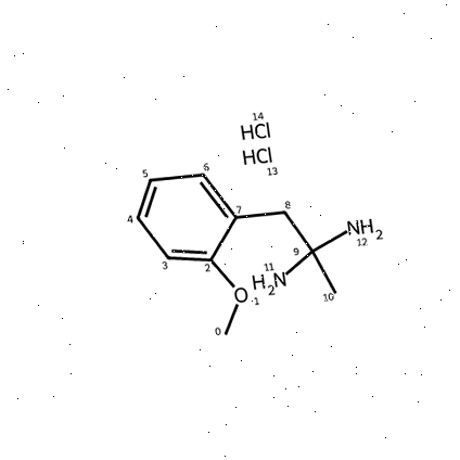 COc1ccccc1CC(C)(N)N.Cl.Cl